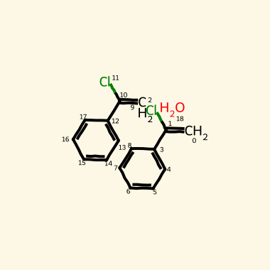 C=C(Cl)c1ccccc1.C=C(Cl)c1ccccc1.O